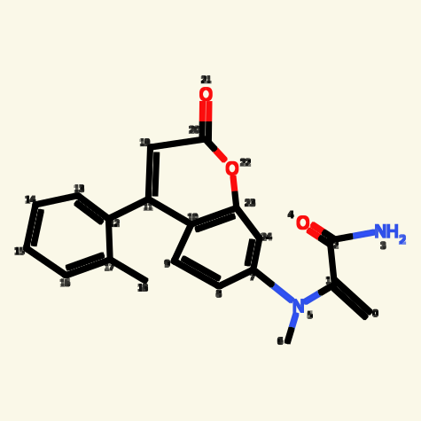 C=C(C(N)=O)N(C)c1ccc2c(-c3ccccc3C)cc(=O)oc2c1